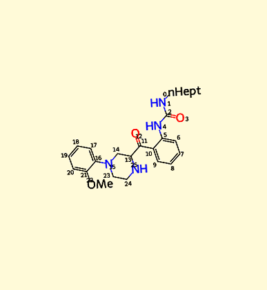 CCCCCCCNC(=O)Nc1ccccc1C(=O)C1CN(c2ccccc2OC)CCN1